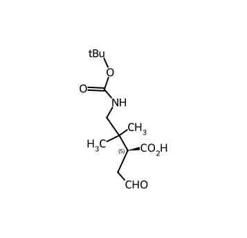 CC(C)(C)OC(=O)NCC(C)(C)[C@H](CC=O)C(=O)O